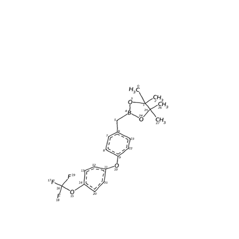 CC1(C)OB(Cc2ccc(Oc3ccc(OC(F)(F)F)cc3)cc2)OC1(C)C